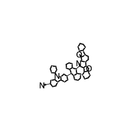 N#Cc1ccc2c3ccc(-c4c5ccccc5c(-c5nc6c(ccc7c8ccccc8oc76)c6oc7ccccc7c56)c5ccccc45)cc3n(-c3ccccc3)c2c1